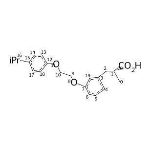 CC(Cc1cccc(OCCOc2ccc(C(C)C)cc2)c1)C(=O)O